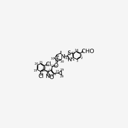 O=Cc1ccc2nc(N3CC4CC(OCc5c(-c6c(Cl)cccc6Cl)noc5C5CC5)C3C4)sc2c1